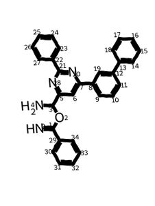 N=C(OC(N)c1cc(-c2cccc(-c3ccccc3)c2)nc(-c2ccccc2)n1)c1ccccc1